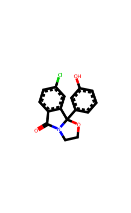 O=C1c2ccc(Cl)cc2C2(c3cccc(O)c3)OCCN12